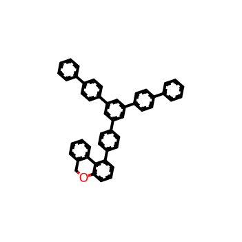 c1ccc(-c2ccc(-c3cc(-c4ccc(-c5ccccc5)cc4)cc(-c4ccc(-c5cccc6c5-c5ccccc5CO6)cc4)c3)cc2)cc1